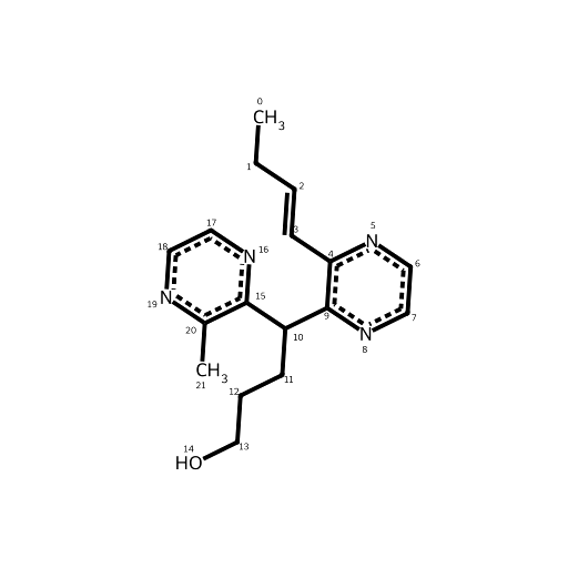 CCC=Cc1nccnc1C(CCCO)c1nccnc1C